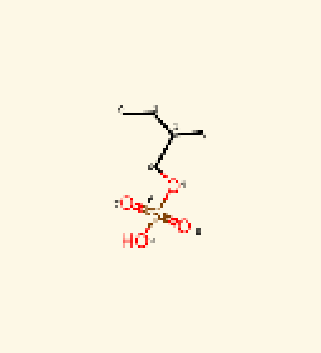 CCC(C)COS(=O)(=O)O